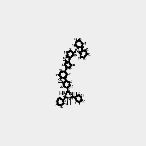 c1ccc(C2NC(c3ccccc3)NC(c3ccc4c(c3)oc3ccc(-c5ccc6c(c5)sc5ccc(-n7c8ccccc8c8ccccc87)cc56)cc34)N2)cc1